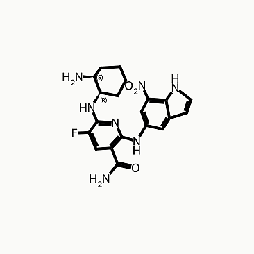 NC(=O)c1cc(F)c(N[C@@H]2CCCC[C@@H]2N)nc1Nc1cc([N+](=O)[O-])c2[nH]ccc2c1